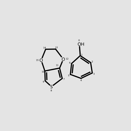 Oc1ccccc1.c1scc2c1OCCO2